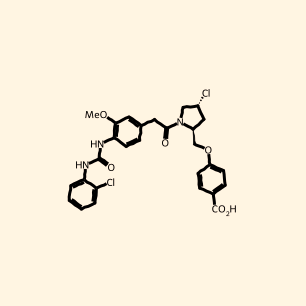 COc1cc(CC(=O)N2C[C@H](Cl)C[C@H]2COc2ccc(C(=O)O)cc2)ccc1NC(=O)Nc1ccccc1Cl